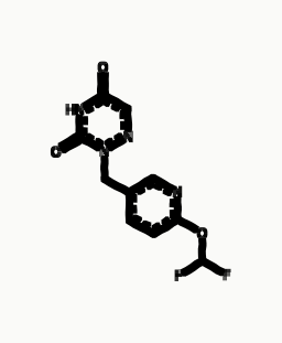 O=c1cnn(Cc2ccc(OC(F)F)nc2)c(=O)[nH]1